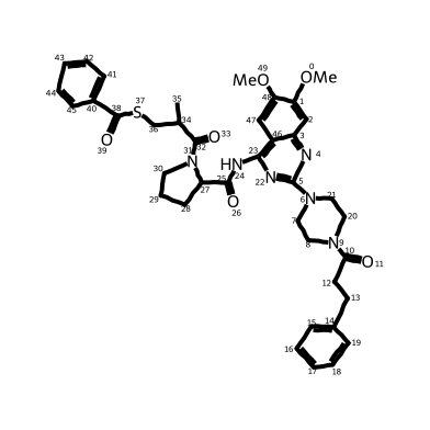 COc1cc2nc(N3CCN(C(=O)CCc4ccccc4)CC3)nc(NC(=O)C3CCCN3C(=O)C(C)CSC(=O)c3ccccc3)c2cc1OC